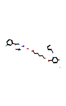 C[C@@H]1N(C(=O)OCOC(=O)CCCCCOC(=O)c2cc(S(N)(=O)=O)c(Cl)cc2NCc2ccco2)C(C)(C)CO[C@@]1(O)c1cccc(Cl)c1